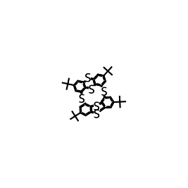 CC(C)(C)c1cc2sc3cc(C(C)(C)C)cc4sc5cc(C(C)(C)C)cc6sc7cc(C(C)(C)C)cc(sc(c1)c2sc34)c7sc65